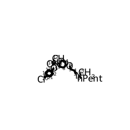 CCCCCN(C)CCCOC1CCC(N(C)C(=O)Oc2ccc(Cl)cc2)CC1